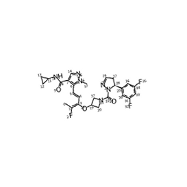 C/C(F)=C(\C=C\c1c(C(=O)NC2CC2)cnn1C)OC1CN(C(=O)N2N=CC[C@H]2c2cc(F)cc(F)c2)C1